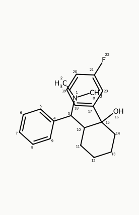 CN(C)C(c1ccccc1)C1CCCCC1(O)c1cccc(F)c1